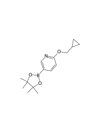 CC1(C)OB(c2ccc(OCC3CC3)nc2)OC1(C)C